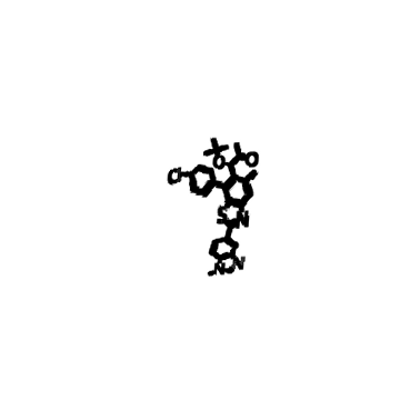 CC(=O)[C@@H](OC(C)(C)C)c1c(C)cc2nc(-c3ccc4c(c3)ncn4C)sc2c1-c1ccc(Cl)cc1